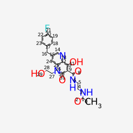 CC(=O)NCCNC(=O)c1c(O)c2ncc(Cc3ccc(F)cc3)cc2n(CCO)c1=O